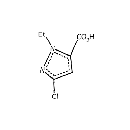 CCn1nc(Cl)cc1C(=O)O